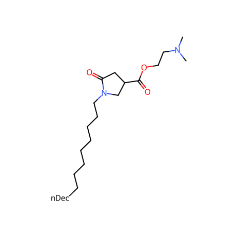 CCCCCCCCCCCCCCCCCCN1CC(C(=O)OCCN(C)C)CC1=O